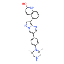 C[C@@H]1CNC[C@H](C)N1c1ccc(-c2cnc3c(-c4cccc5c4C=CC(O)N5)cnn3c2)cc1